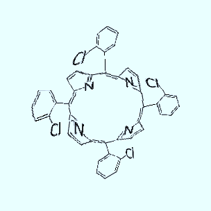 Clc1ccccc1C1=C2C=CC(=N2)C(c2ccccc2Cl)=C2C=CC(=N2)C(c2ccccc2Cl)=C2C=CC(=N2)C(c2ccccc2Cl)=C2C=CC1=N2